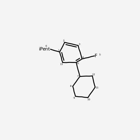 CCCC(C)c1ccc(F)c(C2CCCCC2)c1